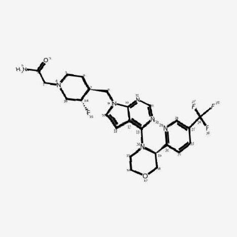 NC(=O)CN1CC[C@@H](Cn2ccc3c(N4CCOC[C@@H]4c4ccc(C(F)(F)F)cn4)ncnc32)[C@H](F)C1